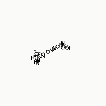 CC(C)(O)Cn1ncn(-c2ccc(N3CCN(c4ccc(-c5ccc(C(F)(F)C(O)(Cn6cnnn6)c6ccc(F)cc6F)nc5)cc4)CC3)cc2)c1=O